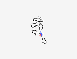 CC1C=CC(c2cccc3c2-c2ccccc2C32c3ccccc3C(C)(C)c3ccccc32)=CC1c1nnc(-c2ccccc2)o1